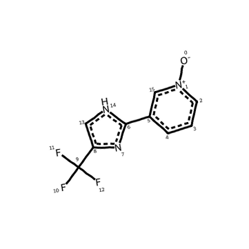 [O-][n+]1cccc(-c2nc(C(F)(F)F)c[nH]2)c1